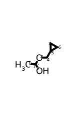 C[C](O)OCC1CC1